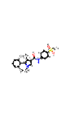 Cc1cccc(C)c1-c1c(C)c(C(=O)Nc2ccc(S(C)(=O)=O)cc2)cn1C